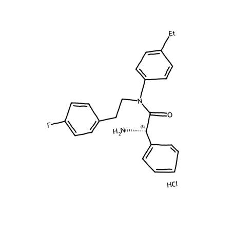 CCc1ccc(N(CCc2ccc(F)cc2)C(=O)[C@@H](N)c2ccccc2)cc1.Cl